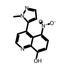 Cn1nccc1-c1ccnc2c(O)ccc([N+](=O)[O-])c12